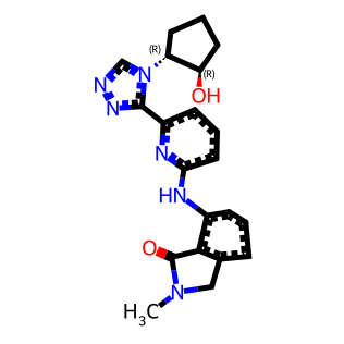 CN1Cc2cccc(Nc3cccc(-c4nncn4[C@@H]4CCC[C@H]4O)n3)c2C1=O